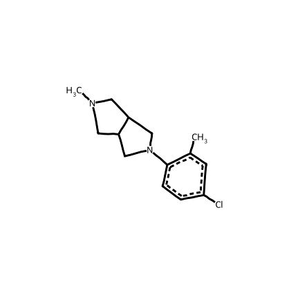 Cc1cc(Cl)ccc1N1CC2CN(C)CC2C1